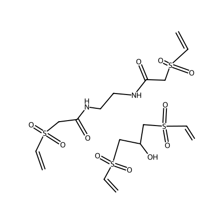 C=CS(=O)(=O)CC(=O)NCCNC(=O)CS(=O)(=O)C=C.C=CS(=O)(=O)CC(O)CS(=O)(=O)C=C